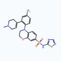 CN1CC=C(c2cc(C(F)(F)F)ccc2N2CCOc3cc(S(=O)(=O)Nc4ncns4)ccc32)CC1